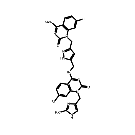 CNc1nc(=O)n(Cc2cc(CNc3nc(=O)n(Cc4c[nH]c(C(F)(F)F)n4)c4cc(Cl)ccc34)[nH]n2)c2cc(Cl)ccc12